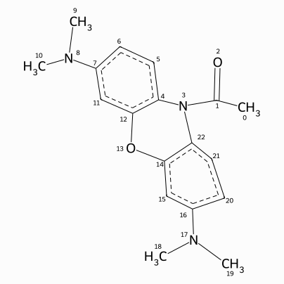 CC(=O)N1c2ccc(N(C)C)cc2Oc2cc(N(C)C)ccc21